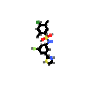 Cc1cc(S(=O)(=O)Nc2cc(F)cc(-c3nccs3)c2)c(C)cc1Cl